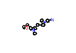 N#Cc1ccc(-n2c3ccccc3c3c(-c4cccc(-c5ccc6c(c5)c5cc(-c7cccc8c7oc7ccccc78)ccc5n6-c5ccccc5)c4)cccc32)cc1